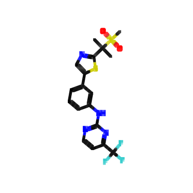 CC(C)(c1ncc(-c2cccc(Nc3nccc(C(F)(F)F)n3)c2)s1)S(C)(=O)=O